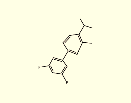 Cc1cc(-c2cc(F)cc(F)c2)ccc1C(C)C